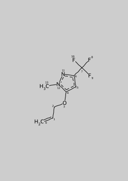 C=CCOc1[c]c(C(F)(F)F)nn1C